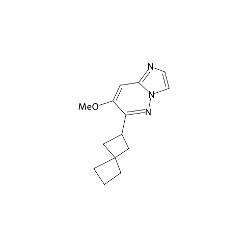 COc1cc2nccn2nc1C1CC2(CCC2)C1